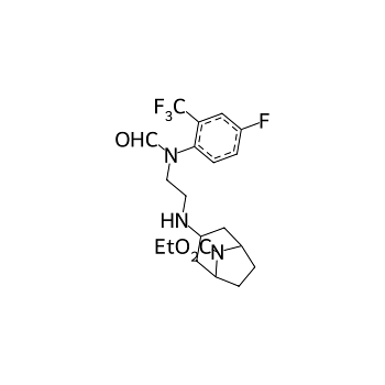 CCOC(=O)N1C2CCC1CC(NCCN(C=O)c1ccc(F)cc1C(F)(F)F)C2